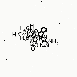 CC(C)OC(=O)C(C)NP(=O)(Oc1cccc2ccccc12)OC(C)[C@H]1O[C@@H](n2cnc3c(N)ncnc32)C2OC(=O)OC21